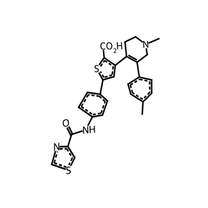 Cc1ccc(C2=C(c3cc(-c4ccc(NC(=O)c5cscn5)cc4)sc3C(=O)O)CCN(C)C2)cc1